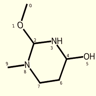 COC1NC(O)CCN1C